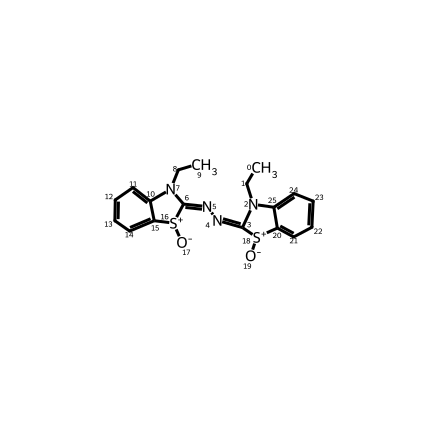 CCn1c(=NN=c2n(CC)c3ccccc3[s+]2[O-])[s+]([O-])c2ccccc21